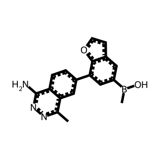 CB(O)c1cc(-c2ccc3c(N)nnc(C)c3c2)c2occc2c1